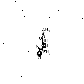 COCCOC(=O)NCc1cncc(-c2c(C#N)c3ccc(Cl)cc3n2C)c1